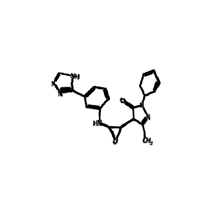 CC1=NN(C2C=CC=CC2)C(=O)C1C1OC1Nc1cccc(-c2nnc[nH]2)c1